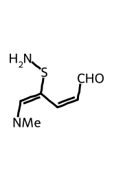 CN/C=C(\C=C/C=O)SN